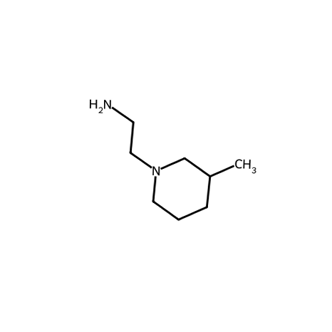 CC1CCCN(CCN)C1